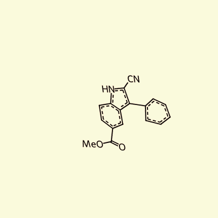 COC(=O)c1ccc2[nH]c(C#N)c(-c3ccccc3)c2c1